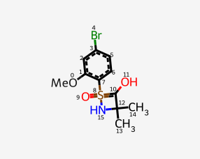 COc1cc(Br)ccc1S1(=O)=C(O)C(C)(C)N1